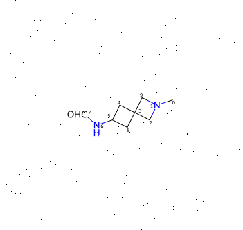 CN1CC2(CC(NC=O)C2)C1